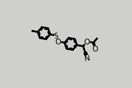 CC(=O)OC(C#N)c1ccc(OSc2ccc(C)cc2)cc1